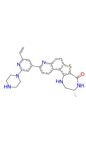 C=Cc1cc(-c2ccc3c(ccc4sc5c(c43)NC[C@@H](C)NC5=O)n2)cc(N2CCNCC2)n1